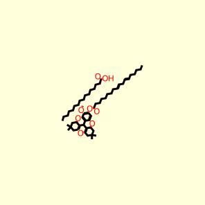 CCCCCC=CCC=CCCCCCCCC(=O)Oc1ccc(C2C3=C(CC(C)(C)CC3=O)OC3=C2C(=O)CC(C)(C)C3)cc1OC.CCCCCCCCCCCCCCCC(=O)O